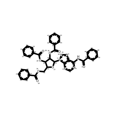 O=C(Nc1ncnc2c1nnn2C1OC(COC(=O)c2ccccc2)C(OC(=O)c2ccccc2)C1OC(=O)c1ccccc1)c1ccccc1